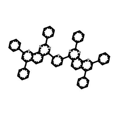 c1ccc(-c2cc(-c3ccccc3)c3ccc4c(-c5cccc(-c6nc(-c7ccccc7)nc7c6ccc6c(-c8ccccc8)cc(-c8ccccc8)nc67)n5)nc(-c5ccccc5)nc4c3n2)cc1